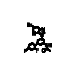 CC(=O)Nc1cc(-c2ccc(F)cc2F)cc(-n2cnc3cc(Br)cnc32)c1